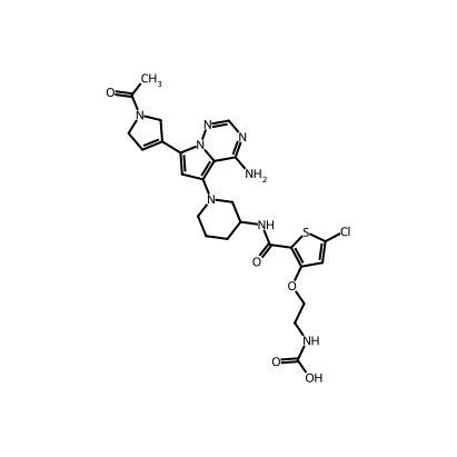 CC(=O)N1CC=C(c2cc(N3CCCC(NC(=O)c4sc(Cl)cc4OCCNC(=O)O)C3)c3c(N)ncnn23)C1